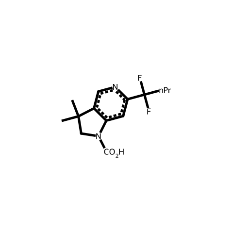 CCCC(F)(F)c1cc2c(cn1)C(C)(C)CN2C(=O)O